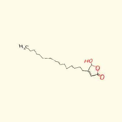 CCCCCCCC/C=C/CCCCCCC1=CC(=O)OC1O